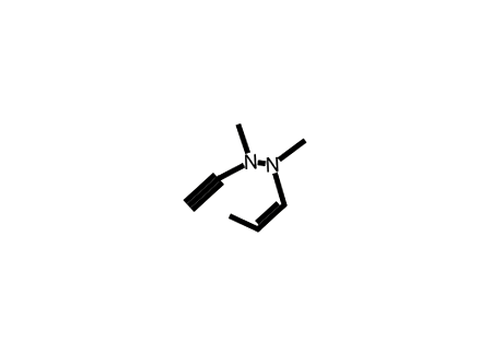 C#CN(C)N(C)/C=C\C